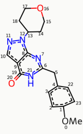 COc1ccc(Cc2nc3c(cnn3C3CCOCC3)c(=O)[nH]2)cc1